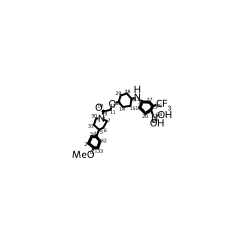 COc1ccc(C2CCN(C(=O)COC3CCC(Nc4ccc(N(O)O)c(C(F)(F)F)c4)CC3)CC2)cc1